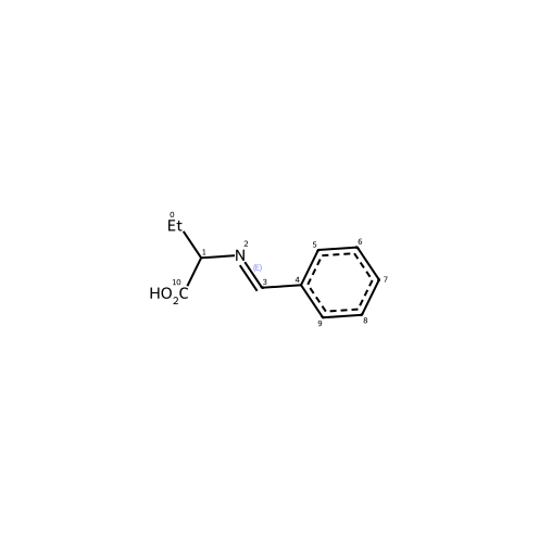 CCC(/N=C/c1ccccc1)C(=O)O